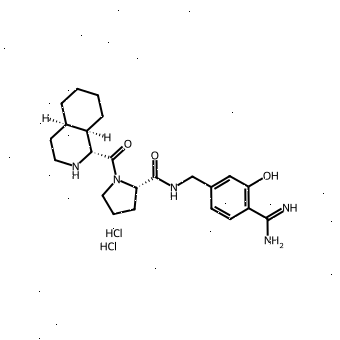 Cl.Cl.N=C(N)c1ccc(CNC(=O)[C@@H]2CCCN2C(=O)[C@@H]2NCC[C@H]3CCCC[C@H]32)cc1O